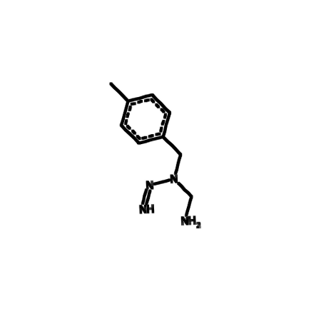 Cc1ccc(CN(CN)N=N)cc1